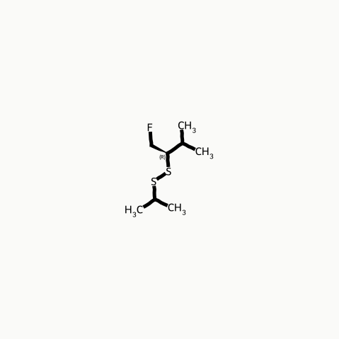 CC(C)SS[C@@H](CF)C(C)C